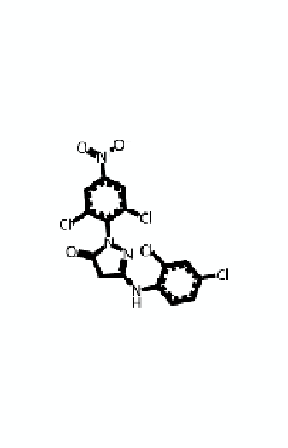 O=C1CC(Nc2ccc(Cl)cc2Cl)=NN1c1c(Cl)cc([N+](=O)[O-])cc1Cl